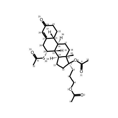 CC(=O)OCCC[C@]1(OC(C)=O)CC[C@H]2[C@H]3[C@H](CC[C@@]21C)[C@H]1CCC(=O)C=C1C[C@H]3SC(C)=O